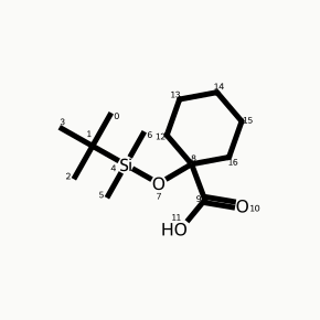 CC(C)(C)[Si](C)(C)OC1(C(=O)O)CCCCC1